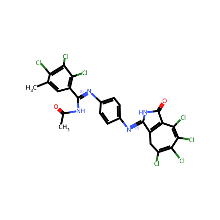 CC(=O)N/C(=N\c1ccc(/N=C2\NC(=O)C3=C2CC(Cl)=C(Cl)C(Cl)=C3Cl)cc1)c1cc(C)c(Cl)c(Cl)c1Cl